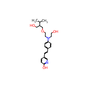 CC(C)C(CO)COCCN(CCO)c1ccc(/C=C/c2ccc(O)nc2)cc1